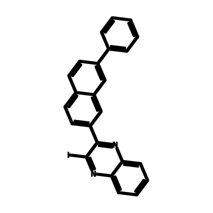 Ic1nc2ccccc2nc1-c1ccc2ccc(-c3ccccc3)cc2c1